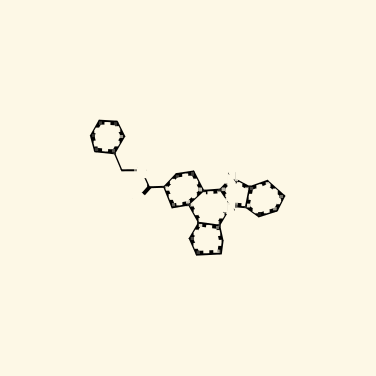 O=C(OCc1ccccc1)c1ccc2c(c1)c1ccccc1n1c3ccccc3nc21